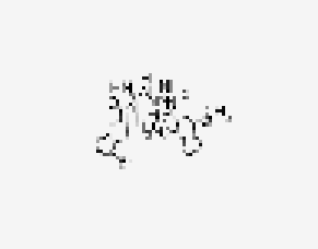 COc1cc(C(=O)N=C(N)NNC(=N)NC(=O)c2ccc3c(Br)cccc3c2)c(OC)c2ccccc12